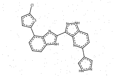 Clc1ccc(-c2cccc3[nH]c(-c4n[nH]c5ccc(-c6cn[nH]c6)nc45)nc23)s1